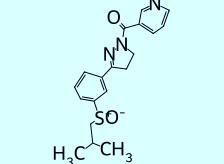 CC(C)C[S+]([O-])c1cccc(C2=NN(C(=O)c3cccnc3)CC2)c1